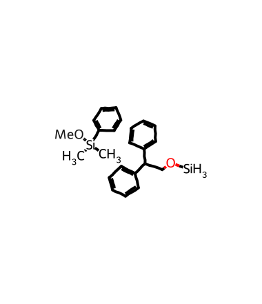 CO[Si](C)(C)c1ccccc1.[SiH3]OCC(c1ccccc1)c1ccccc1